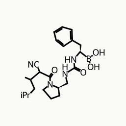 CC(C)CC(C)C(C#N)C(=O)N1CCC[C@@H]1CNC(=O)N[C@@H](Cc1ccccc1)B(O)O